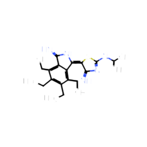 CCc1c(CC)c(CC)c2c(c1CC)C(=N)NC2=C1SC(NC(C)C)=NC1=N